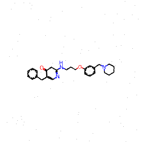 O=C1CC(NCCCOc2cccc(CN3CCCCC3)c2)=NC=C1Cc1ccccc1